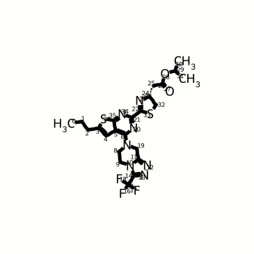 CCCc1cc2c(N3CCn4c(nnc4C(F)(F)F)C3)nc(C3=N[C@H](CC(=O)OC(C)C)CS3)nc2s1